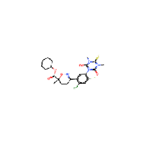 Cn1c(=S)n(C)c(=O)n(-c2cc(C3=NOC(C)(C(=O)OC4CCCCC4)CC3)c(Cl)cc2F)c1=O